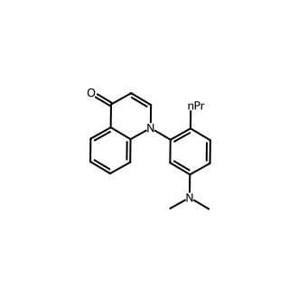 CCCc1ccc(N(C)C)cc1-n1ccc(=O)c2ccccc21